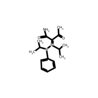 CC(=O)C(C(N)=O)=[N+](C(C)C)N(c1ccccc1)C(C)C